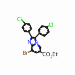 CCOC(=O)c1cc(Br)c2nc(-c3ccc(Cl)cc3)c(-c3ccc(Cl)cc3)n2c1